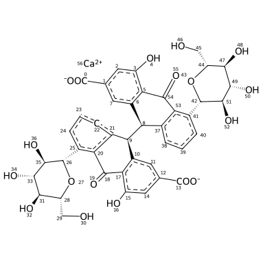 O=C([O-])c1cc(O)c2c(c1)[C@H]([C@H]1c3cc(C(=O)[O-])cc(O)c3C(=O)c3c1cccc3[C@@H]1O[C@H](CO)[C@@H](O)[C@H](O)[C@H]1O)c1cccc([C@@H]3O[C@H](CO)[C@@H](O)[C@H](O)[C@H]3O)c1C2=O.[Ca+2]